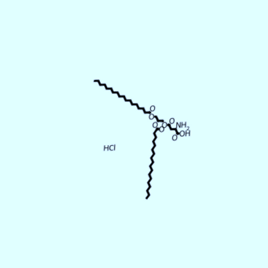 CCCCCCCCCCCCCCCCCC(=O)OCC(COC(=O)CC(N)C(=O)O)OC(=O)CCCCCCCCCCCCCCCCC.Cl